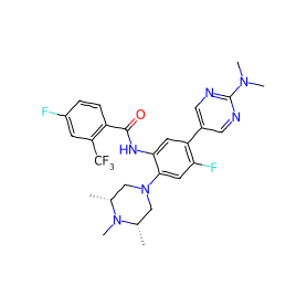 C[C@@H]1CN(c2cc(F)c(-c3cnc(N(C)C)nc3)cc2NC(=O)c2ccc(F)cc2C(F)(F)F)C[C@H](C)N1C